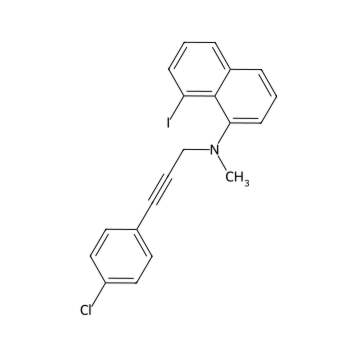 CN(CC#Cc1ccc(Cl)cc1)c1cccc2cccc(I)c12